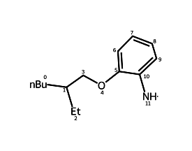 CCCCC(CC)COc1ccccc1[NH]